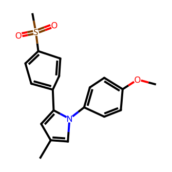 COc1ccc(-n2cc(C)cc2-c2ccc(S(C)(=O)=O)cc2)cc1